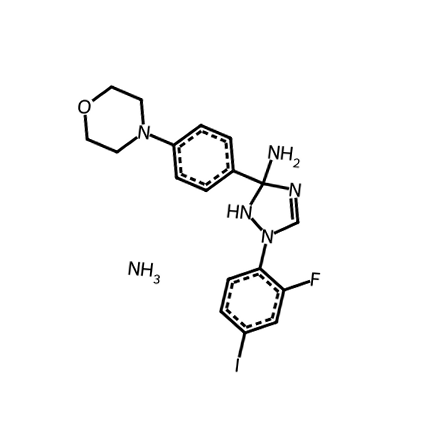 N.NC1(c2ccc(N3CCOCC3)cc2)N=CN(c2ccc(I)cc2F)N1